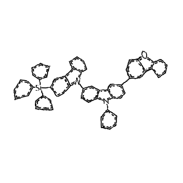 c1ccc(-n2c3ccc(-c4ccc5oc6ccccc6c5c4)cc3c3cc(-n4c5ccccc5c5cc([Si](c6ccccc6)(c6ccccc6)c6ccccc6)ccc54)ccc32)cc1